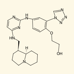 OCCOc1ccc(Nc2nccc(NC[C@@H]3CCCN4CCCC[C@H]34)n2)cc1-n1cnnn1